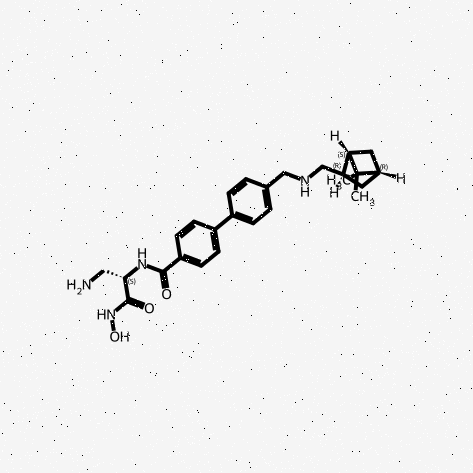 CC1(C)[C@H]2C[C@@H](CNCc3ccc(-c4ccc(C(=O)N[C@@H](CN)C(=O)NO)cc4)cc3)[C@@H]1C2